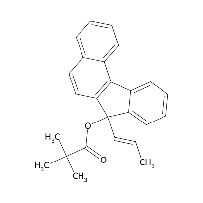 C/C=C/C1(OC(=O)C(C)(C)C)c2ccccc2-c2c1ccc1ccccc21